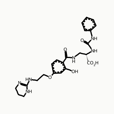 O=C(Nc1ccccc1)N[C@@H](CNC(=O)c1ccc(OCCNC2=NCCCN2)cc1O)C(=O)O